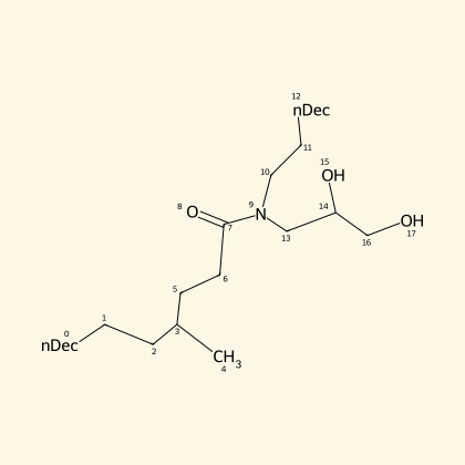 CCCCCCCCCCCCC(C)CCC(=O)N(CCCCCCCCCCCC)CC(O)CO